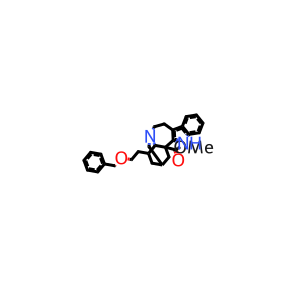 COC(=O)C12CC3CC(CCOCc4ccccc4)C1N(CCc1c2[nH]c2ccccc12)C3